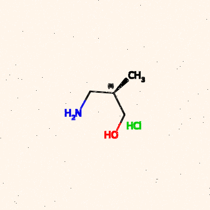 C[C@H](CN)CO.Cl